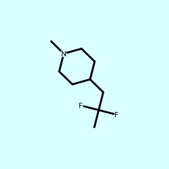 CN1CCC(CC(C)(F)F)CC1